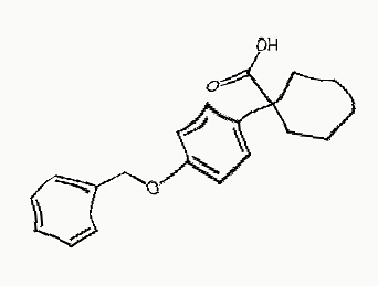 O=C(O)C1(c2ccc(OCc3ccccc3)cc2)CCCCC1